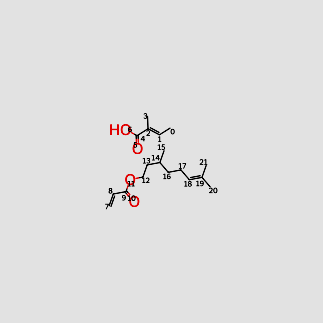 C/C=C(\C)C(=O)O.C=CC(=O)OCCC(C)CCC=C(C)C